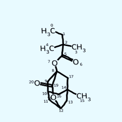 CCC(C)(C)C(=O)OC12CC3CC(CC(C)(C3)C1)OC2=O